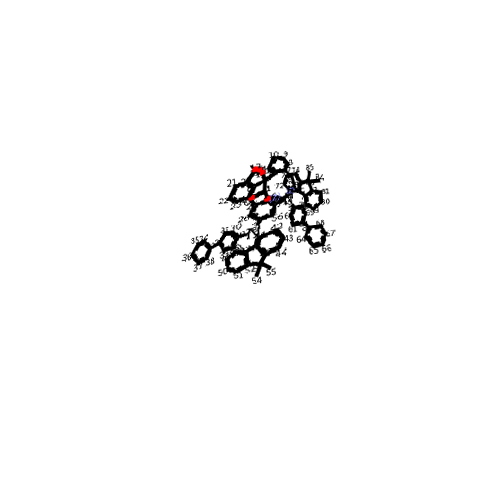 C=C1/C=C\C=C/Cc2ccccc2C12c1ccccc1-c1cccc(-c3cc(N(c4ccc(-c5ccccc5)cc4)c4cccc5c4-c4ccccc4C5(C)C)cc(N(c4ccc(-c5ccccc5)cc4)c4cccc5c4-c4ccccc4C5(C)C)c3)c12